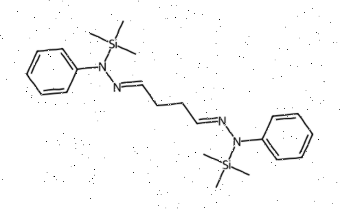 C[Si](C)(C)N(N=CCCC=NN(c1ccccc1)[Si](C)(C)C)c1ccccc1